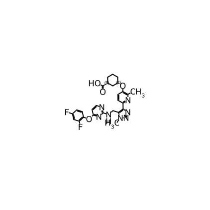 Cc1nc(-c2nnn(C)c2CNc2nccc(Oc3ccc(F)cc3F)n2)ccc1O[C@H]1CCC[C@H](C(=O)O)C1